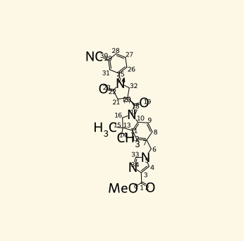 COC(=O)c1cn(Cc2ccc3c(c2)C(C)(C)CN3C(=O)[C@H]2CC(=O)N(c3cccc(C#N)c3)C2)cn1